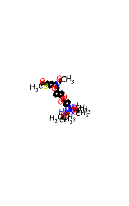 CC(=O)CN(Cc1ccc2sc(C(C)=O)cc2c1)C(=O)CC1CCCc2cc(OC(=O)c3ccc(N/C(=N\C(=O)OC(C)(C)C)NC(=O)OC(C)(C)C)cc3)ccc21